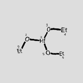 CC[O][Hf]([O]CC)[O]CC